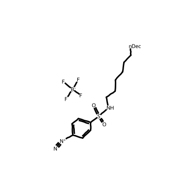 CCCCCCCCCCCCCCCCNS(=O)(=O)c1ccc([N+]#N)cc1.F[B-](F)(F)F